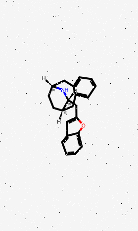 c1ccc2c(c1)C[C@H]1CC[C@@H](C2)[C@@H](Cc2cc3ccccc3o2)N1